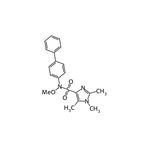 CON(c1ccc(-c2ccccc2)cc1)S(=O)(=O)c1nc(C)n(C)c1C